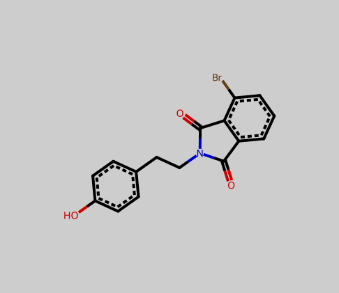 O=C1c2cccc(Br)c2C(=O)N1CCc1ccc(O)cc1